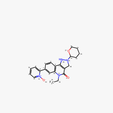 O=c1c2c(c3ccc(-c4cccc[n+]4[O-])cc3n1CC(F)(F)F)NN(C1CCCCO1)C2